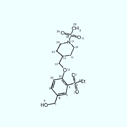 CCS(=O)(=O)c1cc(CO)ccc1OCC1CCN(S(C)(=O)=O)CC1